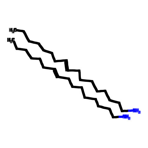 CCCCCC/C=C/CCCCCCCCN.CCCCCCC/C=C/CCCCCCCCN